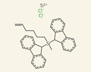 C=CCCCC[Si](C)(C1c2ccccc2-c2ccccc21)C1c2ccccc2-c2ccccc21.[Cl-].[Cl-].[Ti+2]